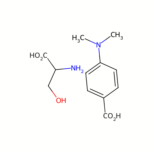 CN(C)c1ccc(C(=O)O)cc1.NC(CO)C(=O)O